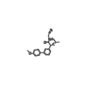 COc1ccc(-c2cccc(C(CC(C)C)C(=O)NCC#N)c2)cc1